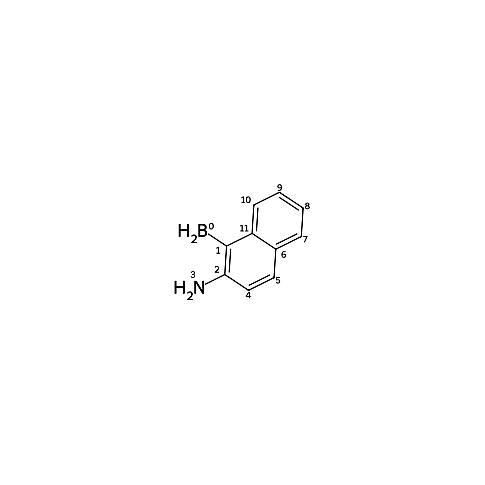 Bc1c(N)ccc2ccccc12